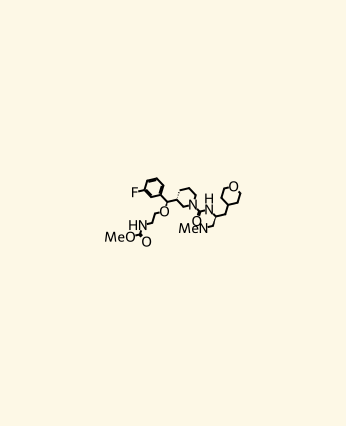 CNC[C@H](CC1CCOCC1)NC(=O)N1CCC[C@@H]([C@@H](OCCNC(=O)OC)c2cccc(F)c2)C1